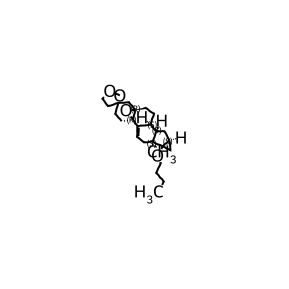 CCCCOC12C[C@@H]1C[C@H]1[C@@H]3CC[C@@]45CC6(CCOO6)CC[C@@]4(O5)C3=CC[C@@]12C